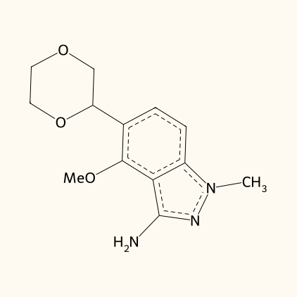 COc1c(C2COCCO2)ccc2c1c(N)nn2C